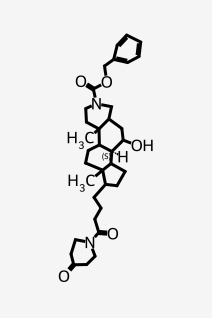 CC12CCC3[C@@H](C(O)CC4CN(C(=O)OCc5ccccc5)CCC43C)C1CCC2CCCC(=O)N1CCC(=O)CC1